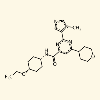 Cn1cncc1-c1nc(C(=O)N[C@H]2CC[C@H](OCC(F)(F)F)CC2)cc(C2CCOCC2)n1